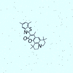 Cc1cc(C)c2sc(-c3c(C)c4cc5c6c(c4oc3=O)C(C)(C)CCN6CCC5(C)C)nc2c1